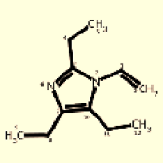 C=Cn1c(CC)nc(CC)c1CC